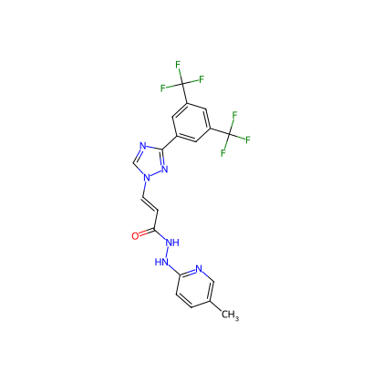 Cc1ccc(NNC(=O)C=Cn2cnc(-c3cc(C(F)(F)F)cc(C(F)(F)F)c3)n2)nc1